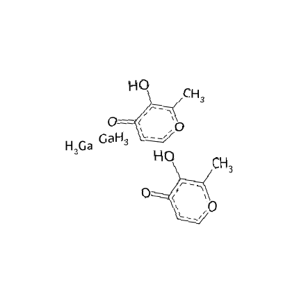 Cc1occc(=O)c1O.Cc1occc(=O)c1O.[GaH3].[GaH3]